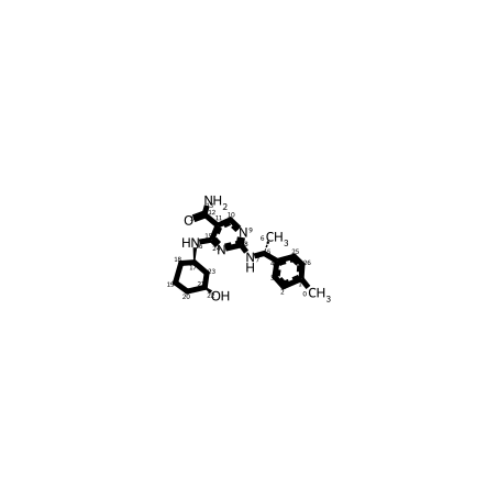 Cc1ccc([C@@H](C)Nc2ncc(C(N)=O)c(N[C@@H]3CCC[C@H](O)C3)n2)cc1